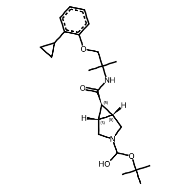 CC(C)(COc1ccccc1C1CC1)NC(=O)[C@H]1[C@@H]2CN(C(O)OC(C)(C)C)C[C@@H]21